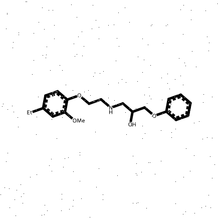 [CH2]Cc1ccc(OCCNCC(O)COc2ccccc2)c(OC)c1